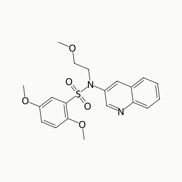 COCCN(c1cnc2ccccc2c1)S(=O)(=O)c1cc(OC)ccc1OC